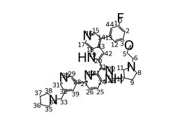 Fc1cc(OCCN2CCCC2)cc(-c2cncc3[nH]c(-c4n[nH]c5ccc(-c6cncc(CN7CCCC7)c6)nc45)cc23)c1